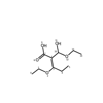 CCOC(CC)=C(C(=O)O)C(O)OCC